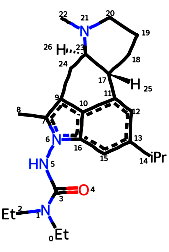 CCN(CC)C(=O)Nn1c(C)c2c3c(cc(C(C)C)cc31)[C@H]1CCCN(C)[C@@H]1C2